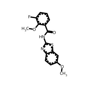 COc1ccc2nc(NC(=O)c3cccc(F)c3OC)sc2c1